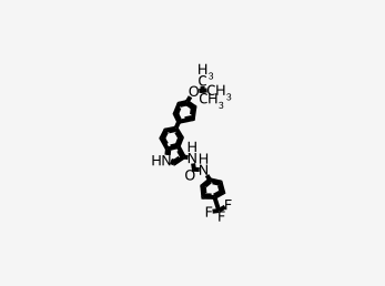 CC(C)(C)Oc1ccc(-c2ccc3[nH]cc(NC(=O)Nc4ccc(C(F)(F)F)cc4)c3c2)cc1